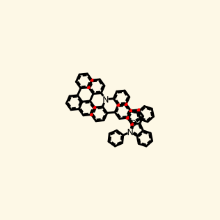 c1ccc(-c2cccc3cccc(-c4ccccc4N(c4cccc(-c5ccc6c7ccccc7n(-c7ccccc7)c6c5)c4)c4ccccc4-c4ccc5c(c4)oc4ccccc45)c23)cc1